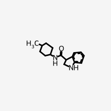 CC1CCC(NC(=O)C2CNc3ccccc32)CC1